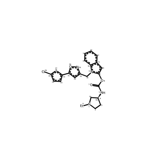 CCN1CC[C@H](NC(=O)Oc2cc3ccccc3n2Cc2cc(-c3ccc(Cl)s3)on2)C1